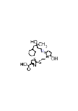 C[C@](O)(C/C=C/[C@@H]1CC[C@H](O)[C@@H]1CCSc1nc(C(=O)O)cs1)CC1CCCCC1